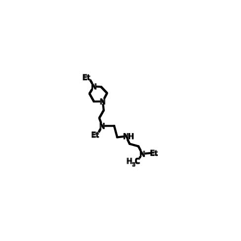 CCN(C)CCNCCN(CC)CCN1CCN(CC)CC1